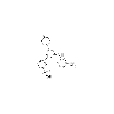 CC(C)(O)c1cccc(-c2cc(Nc3nccc(C(F)(F)F)n3)cc(N3CCOCC3)c2)c1